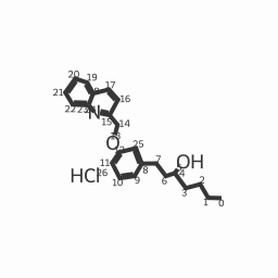 CCCCC(O)CCc1cccc(OCc2ccc3ccccc3n2)c1.Cl